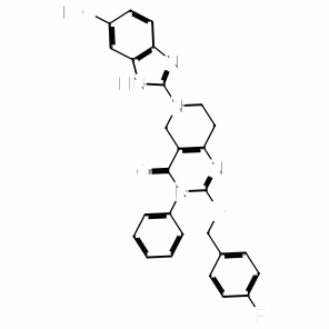 O=c1c2c(nc(OCc3ccc(F)cc3)n1-c1ccccc1)CCN(c1nc3ccc(C(F)(F)F)cc3[nH]1)C2